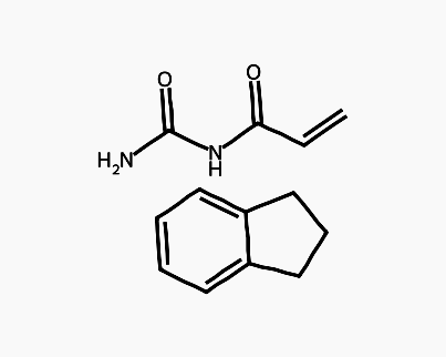 C=CC(=O)NC(N)=O.c1ccc2c(c1)CCC2